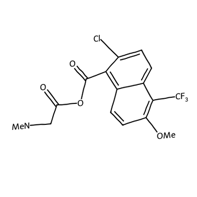 CNCC(=O)OC(=O)c1c(Cl)ccc2c(C(F)(F)F)c(OC)ccc12